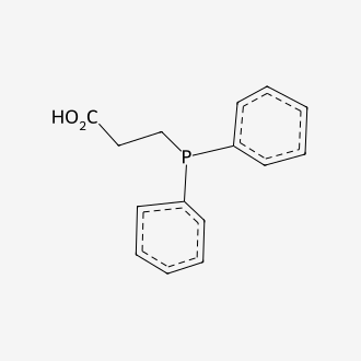 O=C(O)CCP(c1ccccc1)c1ccccc1